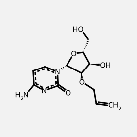 C=CCO[C@@H]1[C@H](O)[C@@H](CO)O[C@H]1n1ccc(N)nc1=O